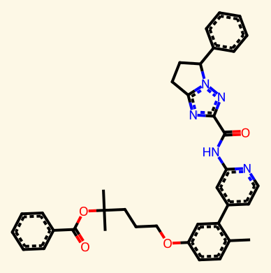 Cc1ccc(OCCCC(C)(C)OC(=O)c2ccccc2)cc1-c1ccnc(NC(=O)c2nc3n(n2)C(c2ccccc2)CC3)c1